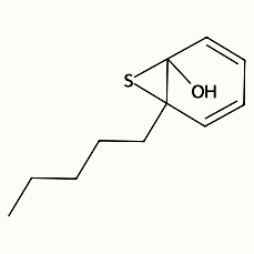 CCCCCC12C=CC=CC1(O)S2